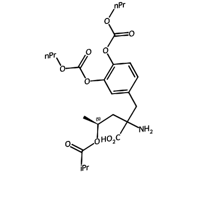 CCCOC(=O)Oc1ccc(CC(N)(C[C@H](C)OC(=O)C(C)C)C(=O)O)cc1OC(=O)OCCC